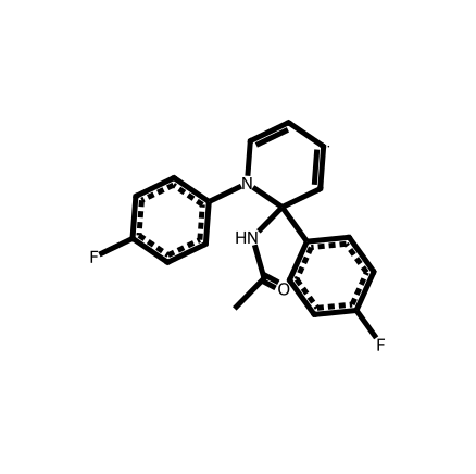 CC(=O)NC1(c2ccc(F)cc2)C=[C]C=CN1c1ccc(F)cc1